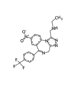 CCNCc1nnc2n1-c1ccc([N+](=O)[O-])cc1C(c1ccc(C(F)(F)F)cc1)=NC2